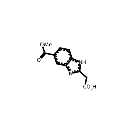 COC(=O)c1ccc2[nH]c(CC(=O)O)nc2c1